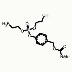 CNC(=O)OCc1ccc(OP(=O)(OCCO)OCCP)cc1